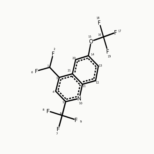 FC(F)c1cc(C(F)(F)F)nc2ccc(OC(F)(F)F)cc12